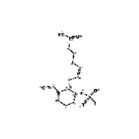 CS(=O)(=O)O[C@@H]1CCC=C(C=O)[C@@H]1C/C=C\CCCC(=O)O